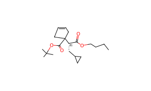 CCCCOC(=O)[C@H](CC1CC1)C1(C(=O)OC(C)(C)C)CC=CC1